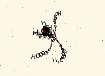 CCCOCCOCCOc1ccc(-c2ccc(CCCCCCCCOc3c(OCCCCCCCCc4ccc(-c5ccc(OCCOCCOCCO)cc5)cc4)cc(COC(=O)NCC[SiH2]O[Si]45O[Si]6(C)O[Si]7(C)O[SiH]8O[Si](C)(O6)O[Si](C)(O[Si](C)(O8)O[Si](C)(O7)O4)O5)cc3OCCCCCCCCc3ccc(-c4ccc(OCCOCCOCCO)cc4)cc3)cc2)cc1